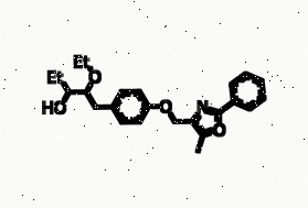 CCOC(Cc1ccc(OCc2nc(-c3ccccc3)oc2C)cc1)C(O)CC